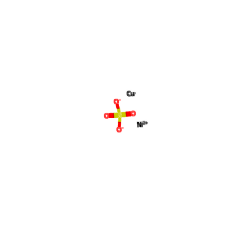 O=S(=O)([O-])[O-].[Cu].[Ni+2]